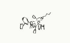 CCCCCN1CC[C@H](CCOc2cccc(Cl)c2)[C@@H](OC)C1.O=C(O)C(=O)O